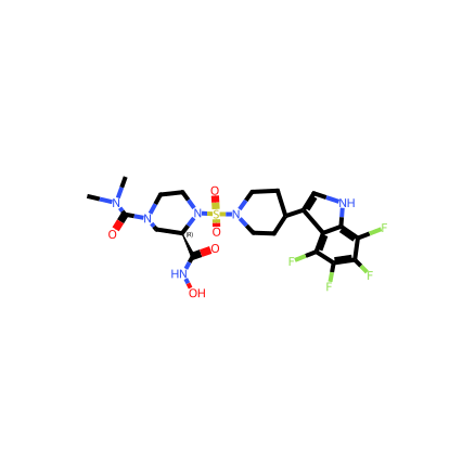 CN(C)C(=O)N1CCN(S(=O)(=O)N2CCC(c3c[nH]c4c(F)c(F)c(F)c(F)c34)CC2)[C@@H](C(=O)NO)C1